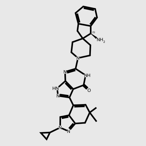 CC1(C)C=C(c2n[nH]c3nc(N4CCC5(CC4)Cc4ccccc4[C@H]5N)[nH]c(=O)c23)c2cn(C3CC3)nc2C1